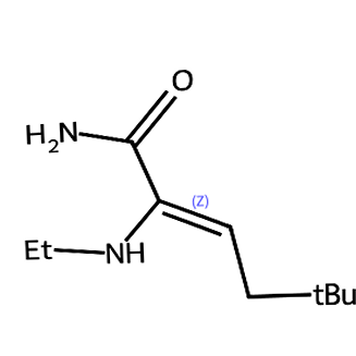 CCN/C(=C\CC(C)(C)C)C(N)=O